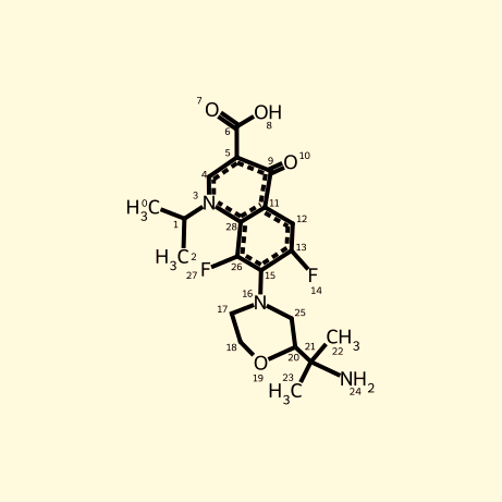 CC(C)n1cc(C(=O)O)c(=O)c2cc(F)c(N3CCOC(C(C)(C)N)C3)c(F)c21